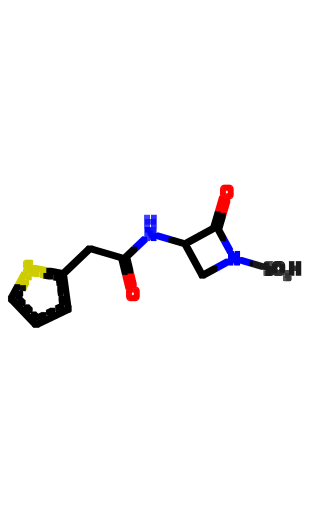 O=C(Cc1cccs1)NC1CN(S(=O)(=O)O)C1=O